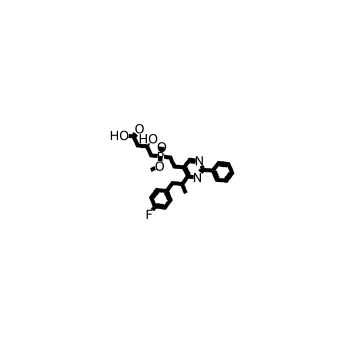 COP(=O)(CCc1cnc(-c2ccccc2)nc1C(C)Cc1ccc(F)cc1)C[C@@H](O)CC(=O)O